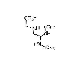 CCCCCCCCNC(CNCC(=O)O)NCCCCCCCC